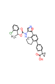 CC(OC(=O)Nc1cnoc1-c1ccc(-c2ccc(C3(C(=O)O)CC3)cc2)c2c1CCCC2)c1ccccc1Cl